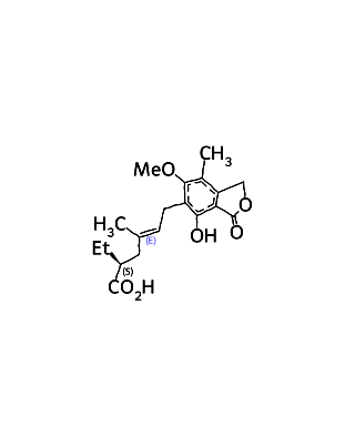 CC[C@@H](C/C(C)=C/Cc1c(O)c2c(c(C)c1OC)COC2=O)C(=O)O